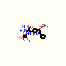 CCOc1cc(-c2ccccc2)nc2c(F)c(-c3nn([C@H]4C[C@@](C)(O)C4)c(N)c3C(N)=O)ccc12